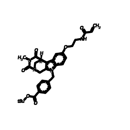 C=CC(=O)NCCOc1ccc2c(c1)c1c(n2Cc2ccc(C(=O)OC(C)(C)C)cc2)CN2C[C@@H]1C(=O)N(C)C2=O